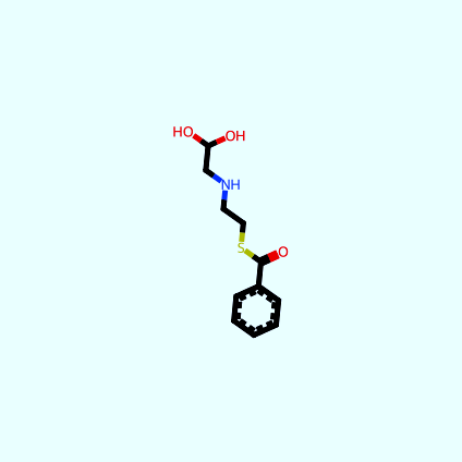 O=C(SCCNCC(O)O)c1ccccc1